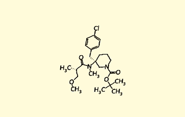 COC[C@H](C)C(=O)N(C)[C@@]1(Cc2ccc(Cl)cc2)CCCN(C(=O)OC(C)(C)C)C1